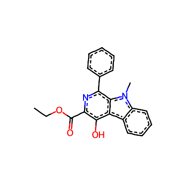 CCOC(=O)c1nc(-c2ccccc2)c2c(c1O)c1ccccc1n2C